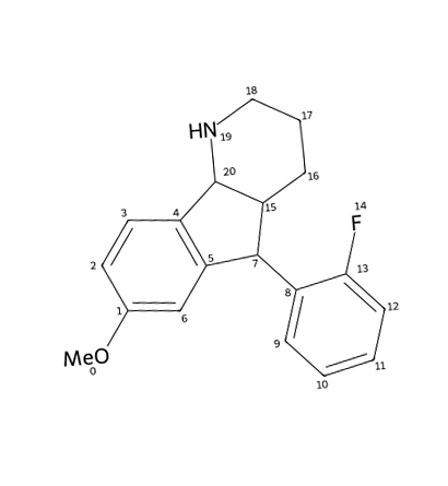 COc1ccc2c(c1)C(c1ccccc1F)C1CCCNC21